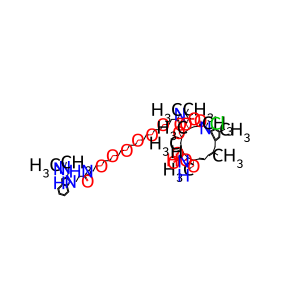 CNN(C)Cc1cc2ccccc2n1CCC(=O)NCCOCCOCCOCCOCCOCCOCCC(=O)N(C)[C@@H](C)C(=O)O[C@H]1CC(=O)N(C)c2cc(cc(C)c2Cl)C/C(C)=C/C=C/[C@@H](OC)[C@@]2(O)C[C@H](OC(=O)N2)[C@@H](C)C2O[C@]21C